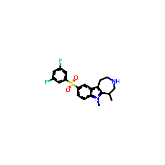 CC1CNCCc2c1n(C)c1ccc(S(=O)(=O)c3cc(F)cc(F)c3)cc21